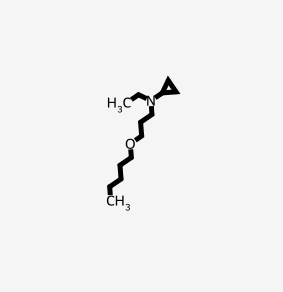 CCCCCOCCCN(CC)C1CC1